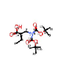 CCC(CN(C(=O)OC(C)(C)C)C(=O)OC(C)(C)C)C(=O)O